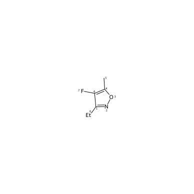 CCc1noc(C)c1F